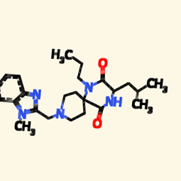 CCCN1C(=O)C(CC(C)C)NC(=O)C12CCN(Cc1nc3ccccc3n1C)CC2